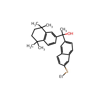 CCSc1ccc2cc(C(C)(O)c3ccc4c(c3)C(C)(C)CCC4(C)C)ccc2c1